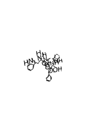 NC(Cc1c[nH]c2ccccc12)C(=O)NC(Cc1c[nH]c2ccccc12)C(=O)NC(CO)C(=O)OCc1ccccc1